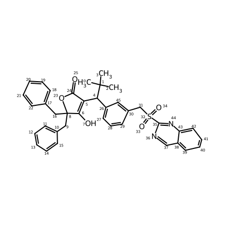 CC(C)(C)C(C1=C(O)C(Cc2ccccc2)(Cc2ccccc2)OC1=O)c1cccc(CS(=O)(=O)c2ncc3ccccc3n2)c1